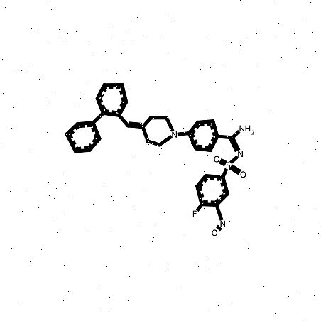 N/C(=N/S(=O)(=O)c1ccc(F)c(N=O)c1)c1ccc(N2CCC(=Cc3ccccc3-c3ccccc3)CC2)cc1